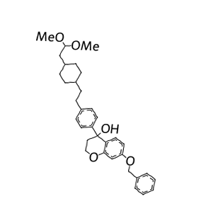 COC(CC1CCC(CCc2ccc(C3(O)CCOc4cc(OCc5ccccc5)ccc43)cc2)CC1)OC